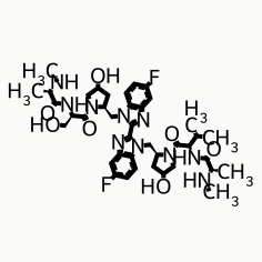 CN[C@H](C)C(=O)N[C@H](CO)C(=O)N1CC(O)C[C@H]1Cn1c(-c2nc3cc(F)ccc3n2C[C@@H]2CC(O)CN2C(=O)[C@H](NC(=O)[C@@H](C)NC)C(C)C)nc2cc(F)ccc21